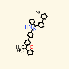 CC1(C)c2ccccc2Oc2cc(-c3ccc(C4N=C(c5cccc(-c6cccc(C#N)c6)c5)c5ccccc5N4)cc3)ccc21